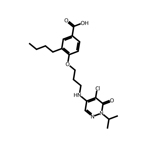 CCCCc1cc(C(=O)O)ccc1OCCCNc1cnn(C(C)C)c(=O)c1Cl